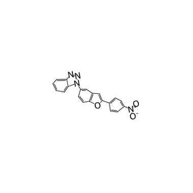 O=[N+]([O-])c1ccc(-c2cc3cc(-n4nnc5ccccc54)ccc3o2)cc1